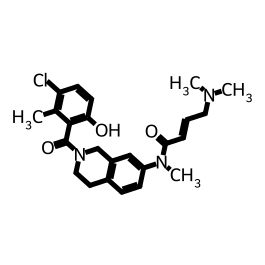 Cc1c(Cl)ccc(O)c1C(=O)N1CCc2ccc(N(C)C(=O)/C=C/CN(C)C)cc2C1